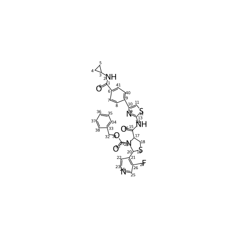 O=C(NC1CC1)c1ccc(-c2csc(NC(=O)C3CSC(c4ccncc4F)N3C(=O)OCc3ccccc3)n2)cc1